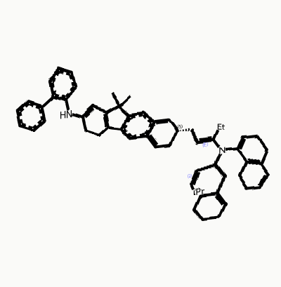 CC/C(=C\C[C@H]1C=c2cc3c(cc2=CC1)C1=C(C=C(Nc2ccccc2-c2ccccc2)CC1)C3(C)C)N(C1=CCCC2=C1CCC=C2)C(/C=C\C(C)C)CC1=CCCCC1